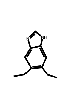 CCc1cc2n[c][nH]c2cc1CC